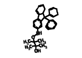 CC(C)(O)C(C)(C)OBc1ccc2c(c1)C(C1=CCCC=C1)(c1c#cccc1)C1CC=CC=C21